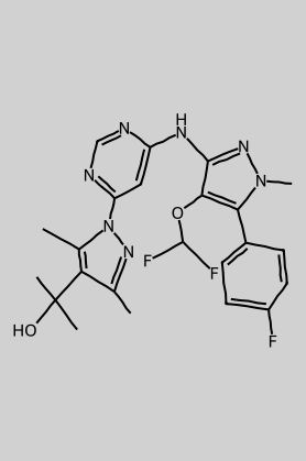 Cc1nn(-c2cc(Nc3nn(C)c(-c4ccc(F)cc4)c3OC(F)F)ncn2)c(C)c1C(C)(C)O